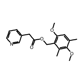 COc1cc(C)c(OC)c(C)c1COC(=O)Cc1cccnc1